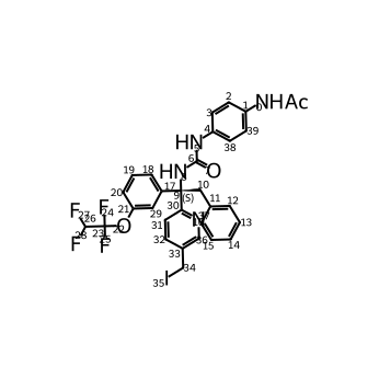 CC(=O)Nc1ccc(NC(=O)N[C@@](Cc2ccccc2)(c2cccc(OC(F)(F)C(F)F)c2)c2ccc(CI)cn2)cc1